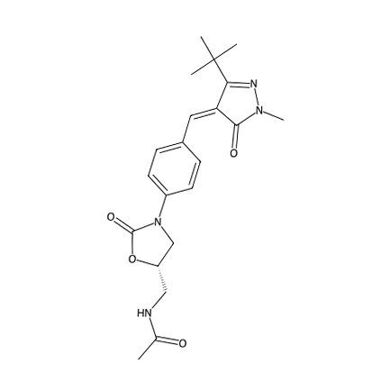 CC(=O)NC[C@H]1CN(c2ccc(/C=C3\C(=O)N(C)N=C3C(C)(C)C)cc2)C(=O)O1